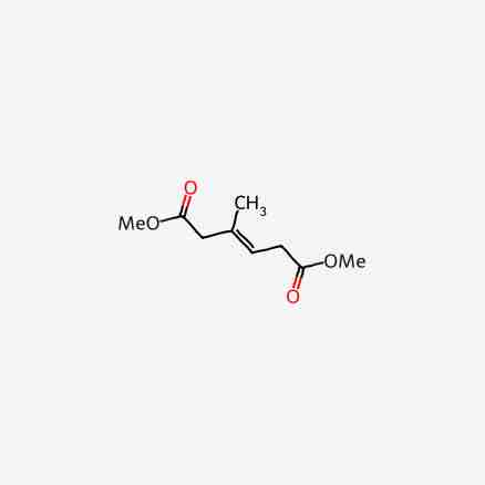 COC(=O)C/C=C(\C)CC(=O)OC